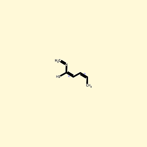 C=N/C(S)=C\C=C/C